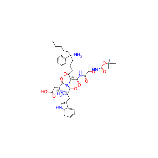 CCCCCC(N)(CCCC(=O)[C@@H](C(=O)NC(=O)CONC(=O)OC(C)(C)C)N(C(=O)[C@@H](N)CC(=O)O)C(=O)[C@@H](N)Cc1c[nH]c2ccccc12)c1ccccc1